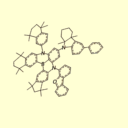 CC1(C)CCC(C)(C)c2cc(N3c4cc5c(cc4B4c6cc7c(cc6N(c6cccc8c6oc6ccccc68)c6cc(N8c9ccc(-c%10ccccc%10)cc9C9(C)CCCCC89C)cc3c64)C(C)(C)CC7(C)C)C(C)(C)CCC5(C)C)ccc21